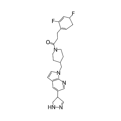 O=C(CCC1=CCC(F)C=C1F)N1CCC(Cn2ccc3cc(C4C=NNC4)cnc32)CC1